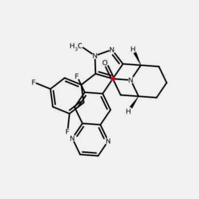 Cn1nc2c(c1-c1cc(F)cc(F)c1)C[C@H]1CCC[C@@H]2N1C(=O)c1cc2nccnc2cc1F